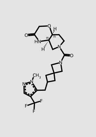 Cn1ncc(C(F)(F)F)c1CC1CC2(C1)CN(C(=O)N1CC[C@@H]3OCC(=O)N[C@@H]3C1)C2